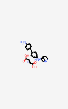 Nc1ccc(-c2ccc(NC3CN4CCC3CC4)cc2)cc1.O=C(O)/C=C/C(=O)O